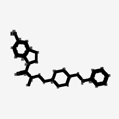 CN(CCN1CCC(COc2ccccc2)CC1)C(=O)N1CCc2cc(O)ccc21